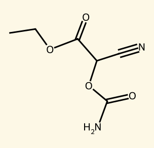 CCOC(=O)C(C#N)OC(N)=O